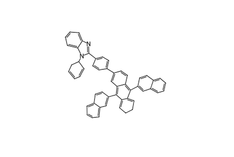 C1=CCC(n2c(-c3ccc(-c4ccc5c(-c6ccc7ccccc7c6)c6c(c(-c7ccc8ccccc8c7)c5c4)=CCCC=6)cc3)nc3ccccc32)C=C1